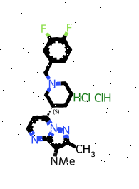 CNc1c(C)nn2c([C@H]3CCCN(Cc4ccc(F)c(F)c4)C3)ccnc12.Cl.Cl